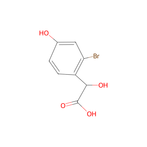 O=C(O)C(O)c1ccc(O)cc1Br